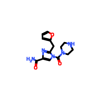 NC(=O)c1cn(C(=O)N2CCNCC2)c(Cc2ccco2)n1